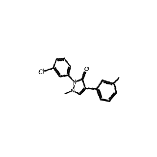 Cc1cccc(-c2cn(C)n(-c3cccc(Cl)c3)c2=O)c1